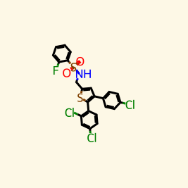 O=S(=O)(NCc1cc(-c2ccc(Cl)cc2)c(-c2ccc(Cl)cc2Cl)s1)c1ccccc1F